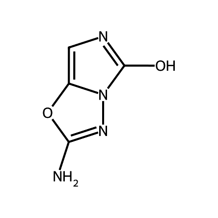 Nc1nn2c(O)ncc2o1